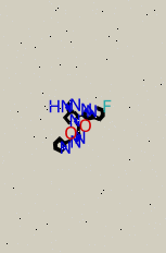 O=C(c1nnc(-c2ccccn2)o1)N1CCc2[nH]cnc2[C@H]1c1cc2ccc(F)cn2n1